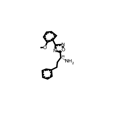 COc1ccccc1-c1noc([C@H](N)CCc2ccccc2)n1